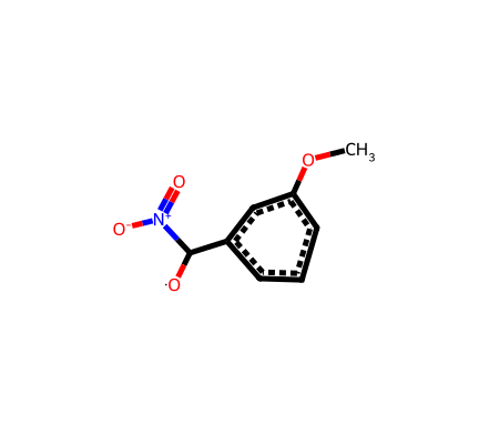 COc1cccc(C([O])[N+](=O)[O-])c1